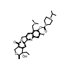 C=C1OCc2c(cc3n(c2=O)Cc2cc4c(CN(C)C)c(OC(=O)N5CCN(C(C)C)CC5)c(F)cc4nc2-3)[C@@]1(O)CC